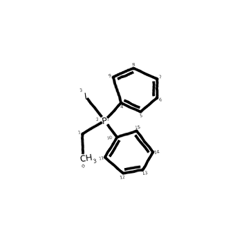 CC[P](I)(c1ccccc1)c1ccccc1